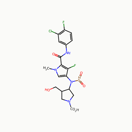 Cn1cc(N(C2CN(C(=O)O)CC2CO)[SH](=O)=O)c(F)c1C(=O)Nc1ccc(F)c(Cl)c1